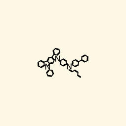 C=C/C=C\C=C/N(c1ccc(-c2ccccc2)cc1)c1ccc(-n2c3ccccc3c3cc4c5ccccc5n(-c5ccccc5)c4cc32)cc1